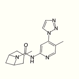 Cc1cnc(NC(=O)N2C3CC(C)CC2C3)cc1-n1ccnn1